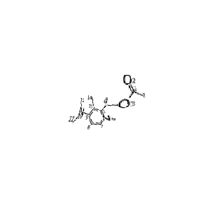 CC(=O)OCc1nccc(N(C)C)c1C